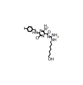 N/C(=N\C(=O)c1nc(Cl)c(NCc2ccc(I)cc2)nc1N)NCCCCCCCO